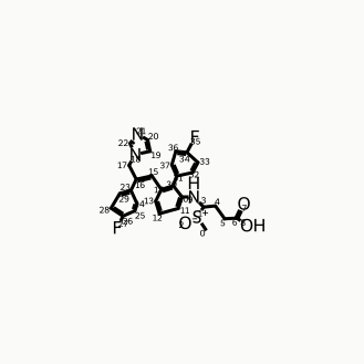 C[S+]([O-])C(CCC(=O)O)Nc1cccc(/C=C(/Cn2ccnc2)c2ccc(F)cc2)c1-c1ccc(F)cc1